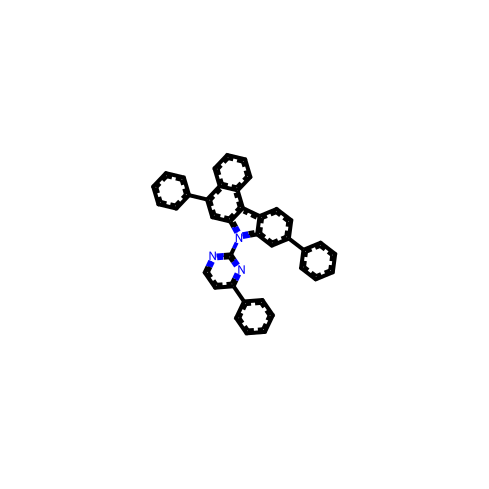 c1ccc(-c2ccc3c4c5ccccc5c(-c5ccccc5)cc4n(-c4nccc(-c5ccccc5)n4)c3c2)cc1